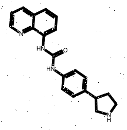 O=C(Nc1ccc(C2CCNC2)cc1)Nc1cccc2cccnc12